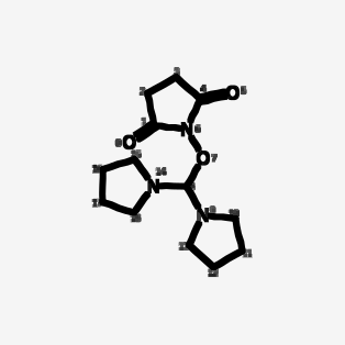 O=C1CCC(=O)N1OC(N1CCCC1)N1CCCC1